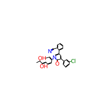 C\C=C(/C=C\C=C(/O)C(C)O)n1cc(-c2ccccc2C#N)cc(-c2cccc(Cl)c2)c1=O